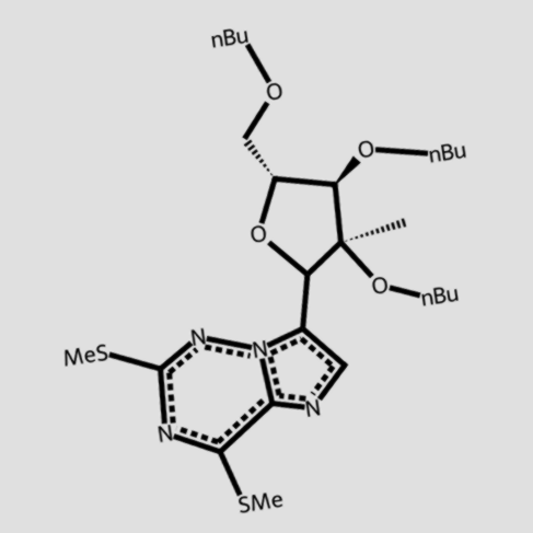 CCCCOC[C@H]1OC(c2cnc3c(SC)nc(SC)nn23)[C@](C)(OCCCC)[C@@H]1OCCCC